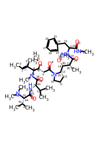 C/C=C(\C)[C@@H]([C@@H](CC(=O)N1CCC[C@H]1[C@H](OC)[C@@H](C)C(=O)NC(Cc1ccccc1)C(=O)NC)OC)N(C)C(=O)[C@@H](NC(=O)[C@H](C(C)C)N(C)C)C(C)C